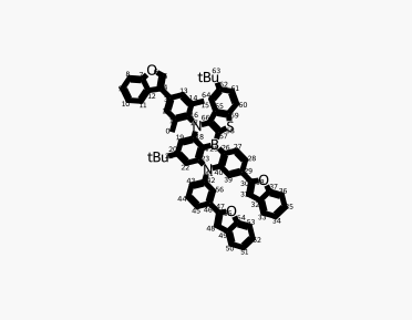 Cc1cc(-c2coc3ccccc23)cc(C)c1N1c2cc(C(C)(C)C)cc3c2B(c2ccc(-c4cc5ccccc5o4)cc2N3c2cccc(-c3cc4ccccc4o3)c2)c2sc3ccc(C(C)(C)C)cc3c21